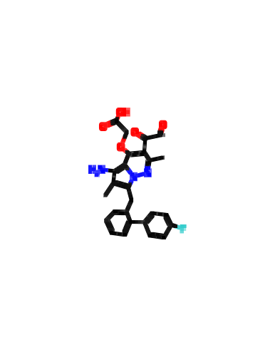 Cc1nn2c(Cc3ccccc3-c3ccc(F)cc3)c(C)c(N)c2c(OCC(=O)O)c1C(=O)[C]=O